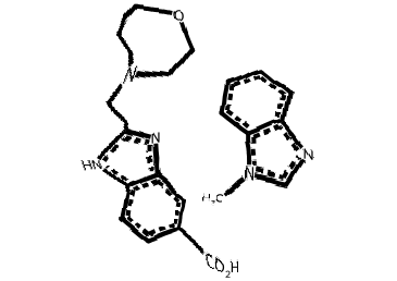 Cn1cnc2ccccc21.O=C(O)c1ccc2[nH]c(CN3CCOCC3)nc2c1